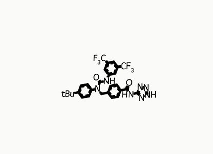 CC(C)(C)c1ccc(N(Cc2ccc(C(=O)Nc3nn[nH]n3)cc2)C(=O)Nc2cc(C(F)(F)F)cc(C(F)(F)F)c2)cc1